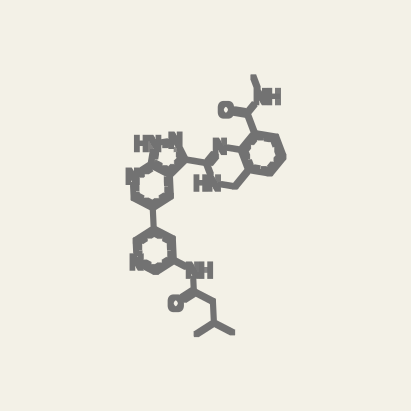 CNC(=O)c1cccc2c1N=C(c1n[nH]c3ncc(-c4cncc(NC(=O)CC(C)C)c4)cc13)NC2